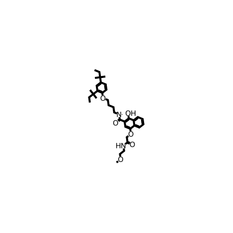 CCC(C)(C)c1ccc(OCCCC[N]C(=O)c2cc(OCC(=O)NCCOC)c3ccccc3c2O)c(C(C)(C)CC)c1